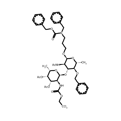 CC(=O)N[C@H]1[C@@H](OCCCN(Cc2ccccc2)C(=O)OCc2ccccc2)O[C@H](C)[C@@H](OCc2ccccc2)[C@@H]1O[C@@H]1O[C@@H](C)[C@@H](OC(C)=O)[C@@H](OC(C)=O)[C@@H]1NC(=O)OCC(Cl)(Cl)Cl